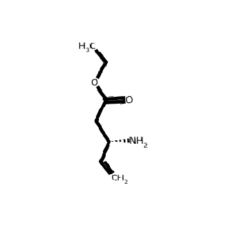 C=C[C@@H](N)CC(=O)OCC